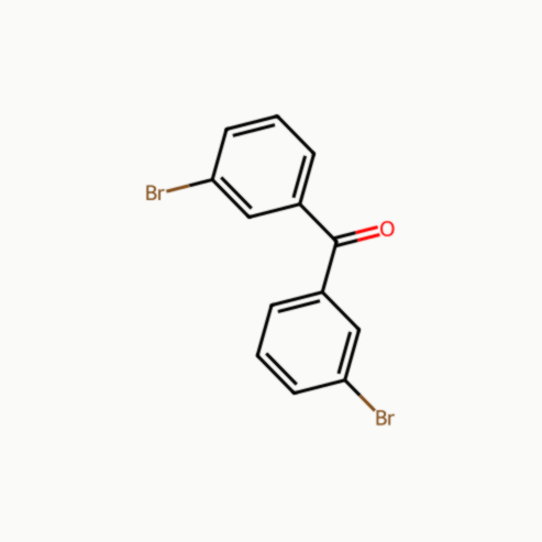 O=C(c1cccc(Br)c1)c1cccc(Br)c1